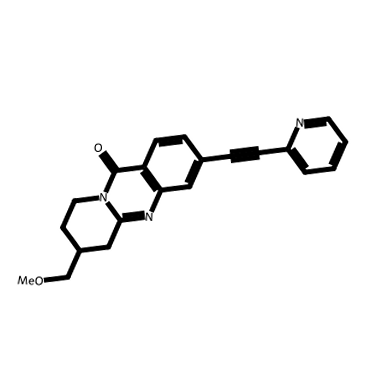 COCC1CCn2c(nc3cc(C#Cc4ccccn4)ccc3c2=O)C1